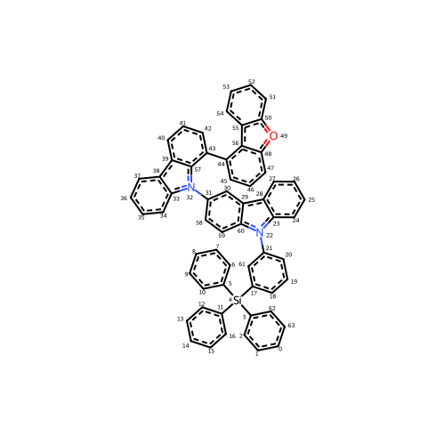 c1ccc([Si](c2ccccc2)(c2ccccc2)c2cccc(-n3c4ccccc4c4cc(-n5c6ccccc6c6cccc(-c7cccc8oc9ccccc9c78)c65)ccc43)c2)cc1